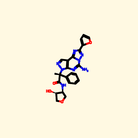 C[C@](C(=O)N[C@H]1COC[C@@H]1O)(c1ccccc1)n1ncc2c1nc(N)n1nc(-c3ccco3)nc21